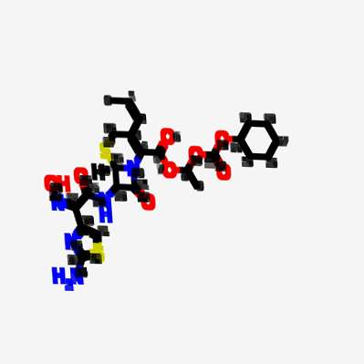 C/C=C\C1=C(C(=O)OC(C)OC(=O)OC2CCCCC2)N2C(=O)C(NC(=O)/C(=N\O)c3csc(N)n3)[C@H]2SC1